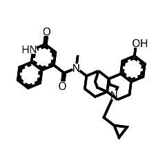 CN(C(=O)c1cc(=O)[nH]c2ccccc12)C1CCC23CCC1C21CCN(CC2CC2)C3Cc2ccc(O)cc21